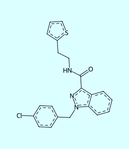 O=C(NCCc1cccs1)c1nn(Cc2ccc(Cl)cc2)c2ccccc12